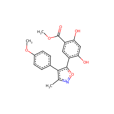 COC(=O)c1cc(-c2onc(C)c2-c2ccc(OC)cc2)c(O)cc1O